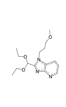 CCOC(OCC)c1nc2ncccc2n1CCCOC